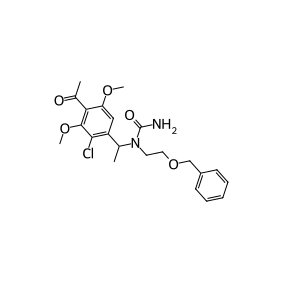 COc1cc(C(C)N(CCOCc2ccccc2)C(N)=O)c(Cl)c(OC)c1C(C)=O